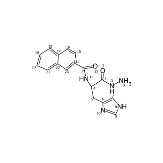 NNC(=O)C(Cc1c[nH]cn1)NC(=O)c1ccc2ccccc2c1